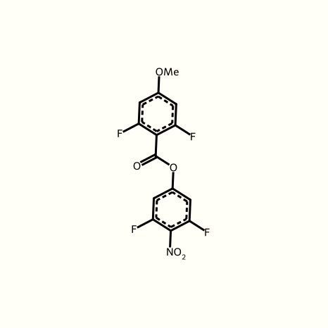 COc1cc(F)c(C(=O)Oc2cc(F)c([N+](=O)[O-])c(F)c2)c(F)c1